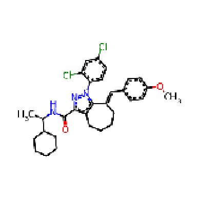 COc1ccc(/C=C2\CCCCc3c(C(=O)N[C@H](C)C4CCCCC4)nn(-c4ccc(Cl)cc4Cl)c32)cc1